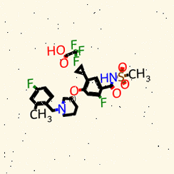 Cc1cc(F)ccc1CN1CCC[C@@H](Oc2cc(F)c(C(=O)NS(C)(=O)=O)cc2C2CC2)C1.O=C(O)C(F)(F)F